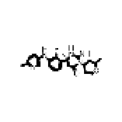 Cc1ccc(Nc2cccc([C@]3(C)CC(=O)N(C4CCOC(C)C4)C(=N)N3)c2Cl)cn1